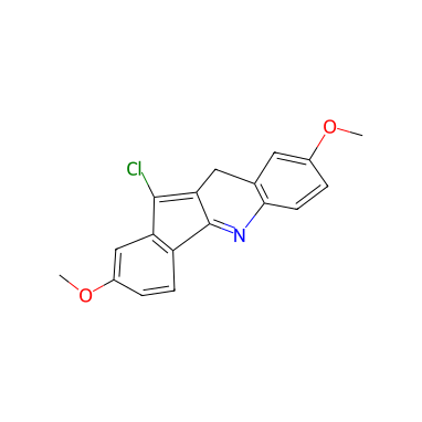 COc1ccc2c(c1)CC1=C(Cl)c3cc(OC)ccc3C1=N2